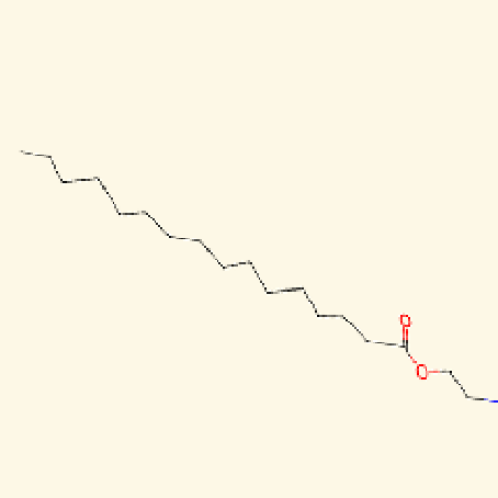 CCCCCCCCCCCCCCCC(=O)OCCN